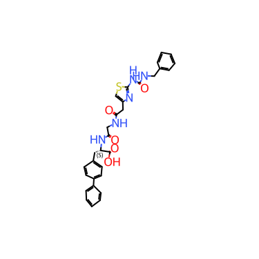 O=C(Cc1csc(NC(=O)NCc2ccccc2)n1)NCC(=O)N[C@@H](Cc1ccc(-c2ccccc2)cc1)C(=O)O